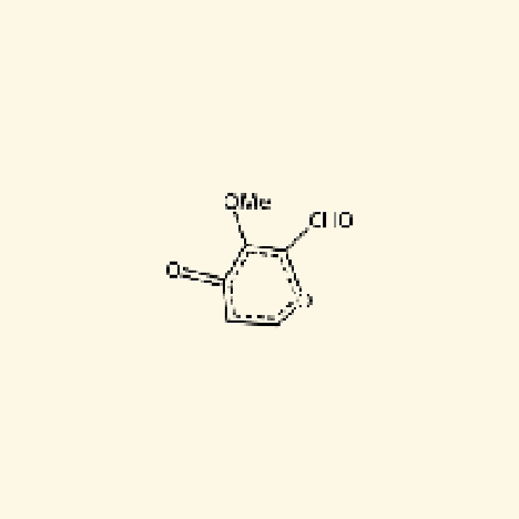 COc1c(C=O)occc1=O